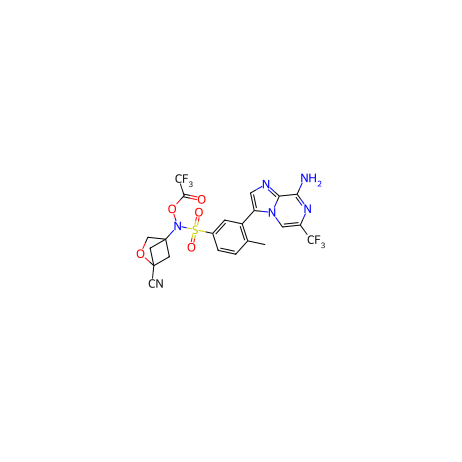 Cc1ccc(S(=O)(=O)N(OC(=O)C(F)(F)F)C23COC(C#N)(C2)C3)cc1-c1cnc2c(N)nc(C(F)(F)F)cn12